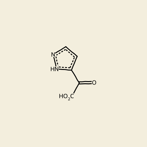 O=C(O)C(=O)c1ccn[nH]1